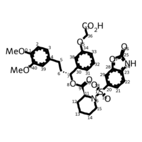 COc1ccc(CC[C@@H](OC(=O)[C@@H]2CCCCN2S(=O)(=O)c2ccc3[nH]c(=O)oc3c2)c2cccc(OCC(=O)O)c2)cc1OC